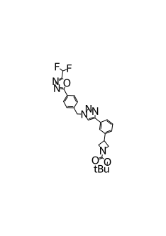 CC(C)(C)OC(=O)N1CC(c2cccc(-c3cn(Cc4ccc(-c5nnc(C(F)F)o5)cc4)nn3)c2)C1